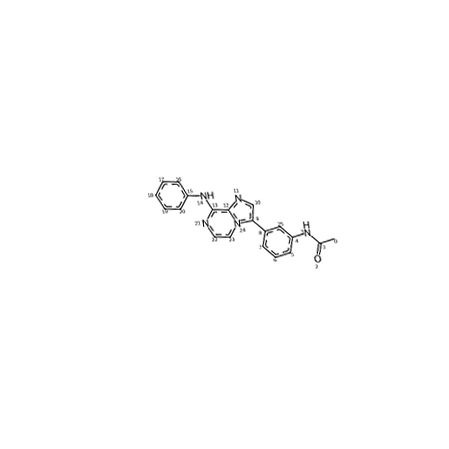 CC(=O)Nc1cccc(-c2cnc3c(Nc4ccccc4)nccn23)c1